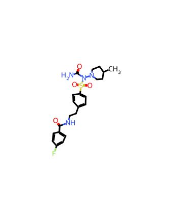 CC1CCN(N(C(N)=O)S(=O)(=O)c2ccc(CCNC(=O)c3ccc(F)cc3)cc2)CC1